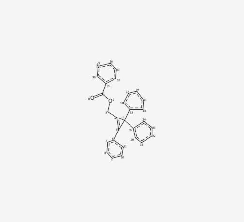 O=C(OCC1=C(c2ccccc2)C1(c1ccccc1)c1ccccc1)c1cccnc1